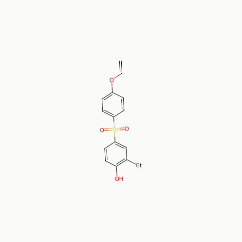 C=COc1ccc(S(=O)(=O)c2ccc(O)c(CC)c2)cc1